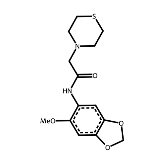 COc1cc2c(cc1NC(=O)CN1CCSCC1)OCO2